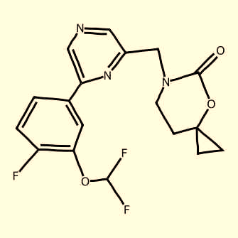 O=C1OC2(CCN1Cc1cncc(-c3ccc(F)c(OC(F)F)c3)n1)CC2